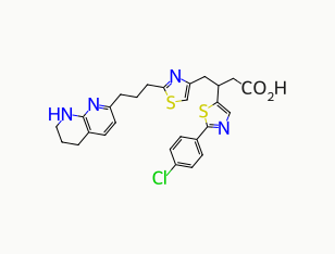 O=C(O)CC(Cc1csc(CCCc2ccc3c(n2)NCCC3)n1)c1cnc(-c2ccc(Cl)cc2)s1